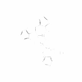 CCOC(=O)N[C@@H](Cc1ccccc1)[C@H](O)CN1Cc2ccccc2C[C@H](c2ccccc2)C1